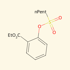 CCCCCS(=O)(=O)Oc1ccccc1C(=O)OCC